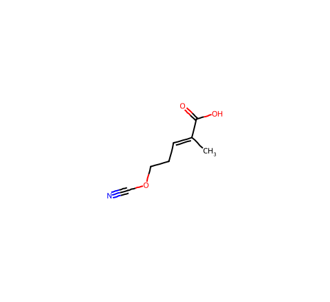 C/C(=C\CCOC#N)C(=O)O